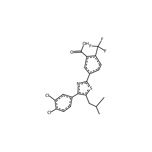 CC(C)Cc1sc(-c2ccc(C(F)(F)F)c(C(=O)O)c2)nc1-c1ccc(Cl)c(Cl)c1